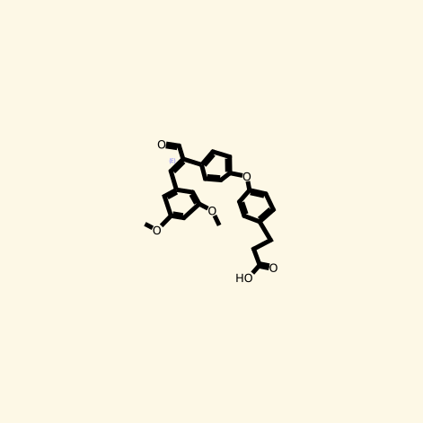 COc1cc(/C=C(/C=O)c2ccc(Oc3ccc(CCC(=O)O)cc3)cc2)cc(OC)c1